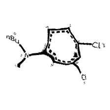 CCCCN(C)c1ccc(Cl)c(Cl)c1